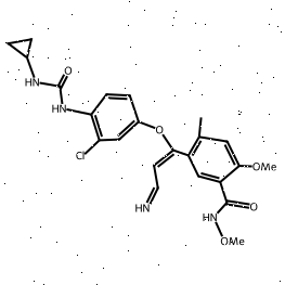 CONC(=O)c1cc(/C(=C\C=N)Oc2ccc(NC(=O)NC3CC3)c(Cl)c2)c(C)cc1OC